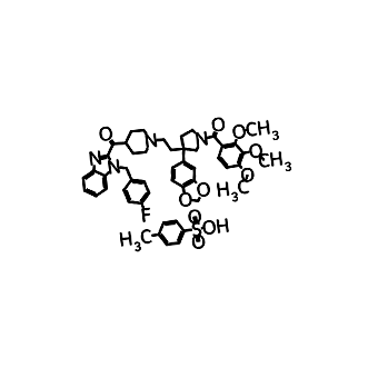 COc1ccc(C(=O)N2CCC(CCN3CCC(C(=O)c4nc5ccccc5n4Cc4ccc(F)cc4)CC3)(c3ccc4c(c3)OCO4)C2)c(OC)c1OC.Cc1ccc(S(=O)(=O)O)cc1